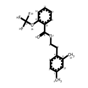 Cc1ccc(CCOC(=O)c2ccccc2OC(F)(F)F)c(C)c1